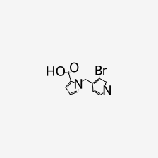 O=C(O)c1cccn1Cc1ccncc1Br